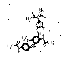 COc1cc(N=Nc2sc(N(C(C)C)C(C)C)n[n+]2C)c(NC(C)=O)cc1Nc1ccc(NC(C)=O)cc1